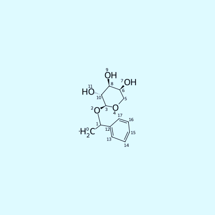 [CH2]C(O[C@@H]1OC[C@H](O)[C@H](O)[C@H]1O)c1ccccc1